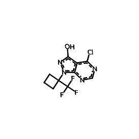 Oc1nn(C2(C(F)(F)F)CCC2)c2ncnc(Cl)c12